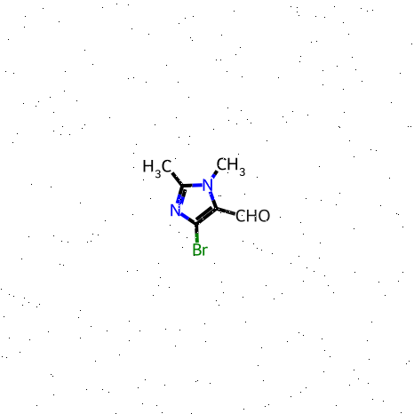 Cc1nc(Br)c(C=O)n1C